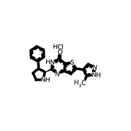 Cc1[nH]ncc1-c1cc2nc([C@H]3NCCC3c3ccccc3)[nH]c(=O)c2s1.Cl